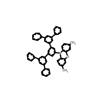 Cc1ccc2c(c1)Oc1cc(C)ccc1N2c1cc(-c2cc(-c3ccccc3)cc(-c3ccccc3)c2)cc(-c2cc(-c3ccccc3)cc(-c3ccccc3)c2)c1